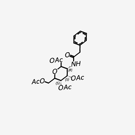 CC(=O)OCC1OC(OC(C)=O)[C@H](NC(=O)Cc2ccccc2)[C@H](OC(C)=O)[C@@H]1OC(C)=O